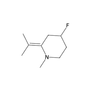 CC(C)=C1CC(F)CCN1C